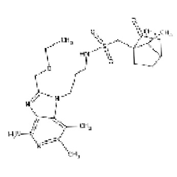 CCOCc1nc2c(N)nc(C)c(C)c2n1CCCNS(=O)(=O)CC12CCC(CC1=O)C2(C)C